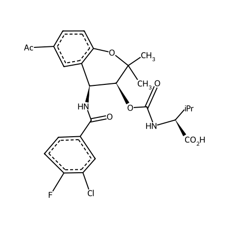 CC(=O)c1ccc2c(c1)[C@H](NC(=O)c1ccc(F)c(Cl)c1)[C@H](OC(=O)N[C@H](C(=O)O)C(C)C)C(C)(C)O2